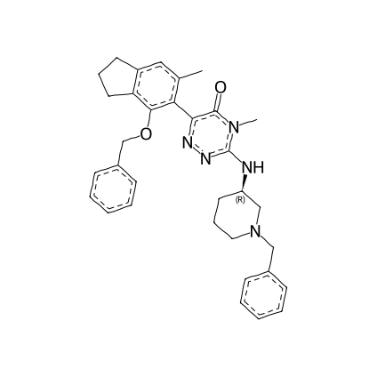 Cc1cc2c(c(OCc3ccccc3)c1-c1nnc(N[C@@H]3CCCN(Cc4ccccc4)C3)n(C)c1=O)CCC2